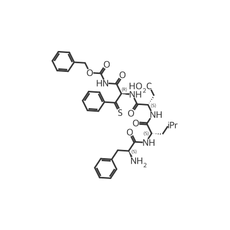 CC(C)C[C@H](NC(=O)[C@@H](N)Cc1ccccc1)C(=O)N[C@@H](CC(=O)O)C(=O)N[C@H](C(=O)NC(=O)OCc1ccccc1)C(=S)c1ccccc1